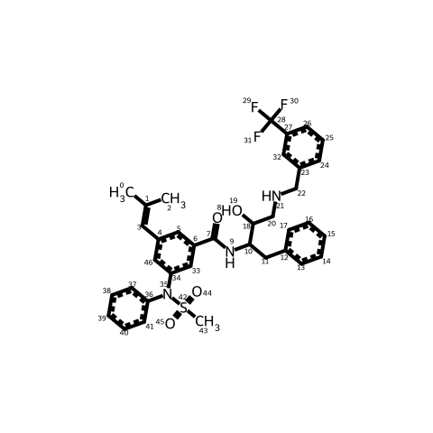 CC(C)=Cc1cc(C(=O)NC(Cc2ccccc2)C(O)CNCc2cccc(C(F)(F)F)c2)cc(N(c2ccccc2)S(C)(=O)=O)c1